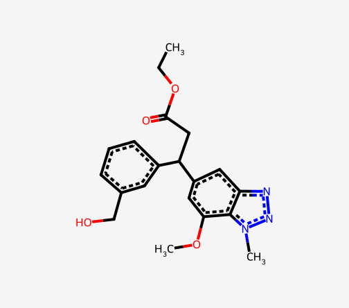 CCOC(=O)CC(c1cccc(CO)c1)c1cc(OC)c2c(c1)nnn2C